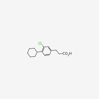 O=C(O)CCc1ccc(C2CCCCC2)c(Cl)c1